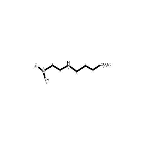 CCOC(=O)CCCNCCN(C(C)C)C(C)C